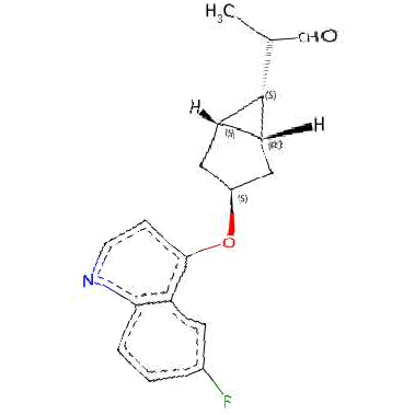 CC(C=O)[C@@H]1[C@@H]2C[C@@H](Oc3ccnc4ccc(F)cc34)C[C@@H]21